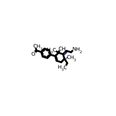 CC[C@@]1(C)CC=C(c2ccc(C(C)=O)cc2)C(C)(C)/C1=C/CN